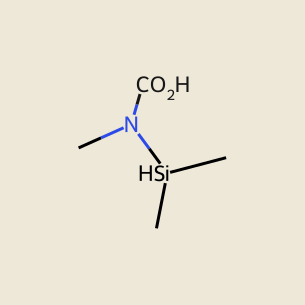 CN(C(=O)O)[SiH](C)C